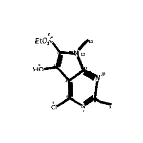 CCOC(=O)c1c(O)c2c(Cl)nc(C)nc2n1C